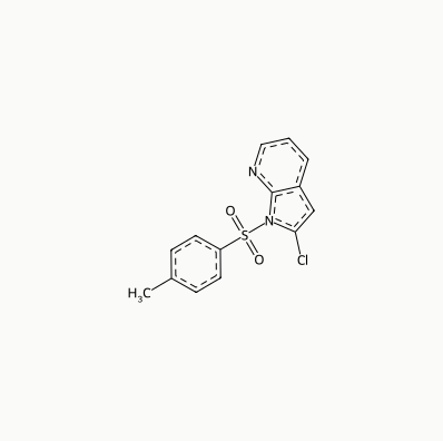 Cc1ccc(S(=O)(=O)n2c(Cl)cc3cccnc32)cc1